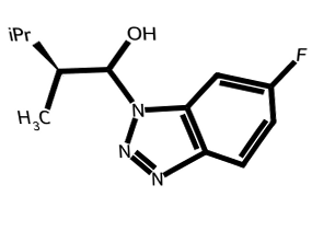 CC(C)[C@H](C)C(O)n1nnc2ccc(F)cc21